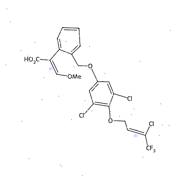 CO/C=C(/C(=O)O)c1ccccc1COc1cc(Cl)c(OC/C=C(\Cl)C(F)(F)F)c(Cl)c1